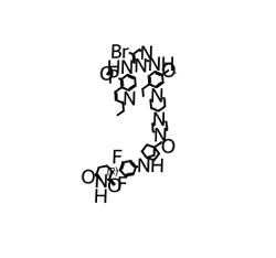 CCc1ccc2c(P(C)(C)=O)c(Nc3nc(Nc4cc(CC)c(N5CCC(N6CCN(C(=O)C78CCC(Nc9cc(F)c([C@H]%10CCC(=O)NC%10=O)c(F)c9)(CC7)C8)CC6)CC5)cc4OC)ncc3Br)ccc2n1